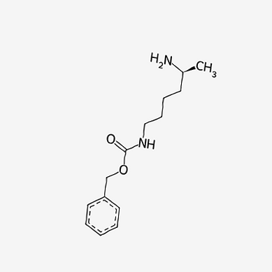 C[C@H](N)CCCCNC(=O)OCc1ccccc1